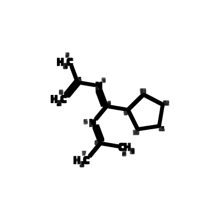 C=C(C)/N=C(\N=C(C)C)C1CCCC1